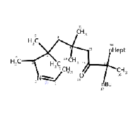 C/C=N\C(C)C(C)(C)CC(C)(C)CC(=O)C(C)(CCCC)CCCCCCC